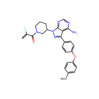 C=C(F)C(=O)N1CCCC(n2nc(-c3ccc(Oc4ccc(OC)cc4)cc3)c3c(N)ncnc32)C1